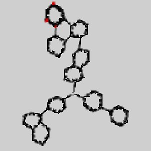 c1ccc(-c2ccc(N(c3ccc(-c4cccc5ccccc45)cc3)c3ccc4cc(-c5cccc(-c6ccccc6)c5-c5ccccc5-c5ccccc5)ccc4c3)cc2)cc1